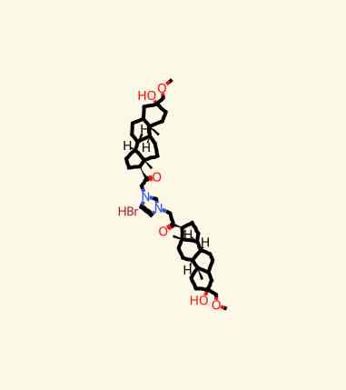 Br.COCC1(O)CC[C@@]2(C)C(CC[C@H]3[C@@H]4CC[C@H](C(=O)CN5C=CN(CC(=O)[C@H]6CC[C@H]7[C@@H]8CCC9CC(O)(COC)CC[C@]9(C)[C@H]8CC[C@]67C)C5)[C@@]4(C)CC[C@@H]32)C1